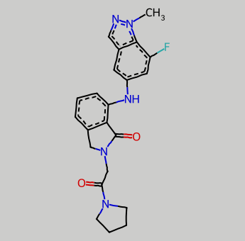 Cn1ncc2cc(Nc3cccc4c3C(=O)N(CC(=O)N3CCCC3)C4)cc(F)c21